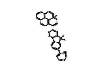 CC12C=Cc3cccc4ccc(c1c34)C(c1ccc3c(c1)C(C)(C)c1cc(-c4ccccn4)ccc1-3)=CC2